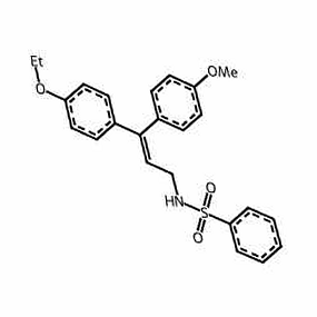 CCOc1ccc(C(=CCNS(=O)(=O)c2ccccc2)c2ccc(OC)cc2)cc1